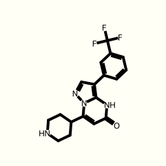 O=c1cc(C2CCNCC2)n2ncc(-c3cccc(C(F)(F)F)c3)c2[nH]1